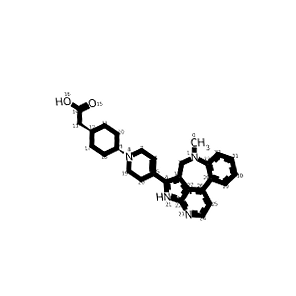 CN1Cc2c(C3=CCN([C@H]4CC[C@H](CC(=O)O)CC4)CC3)[nH]c3nccc(c23)-c2ccccc21